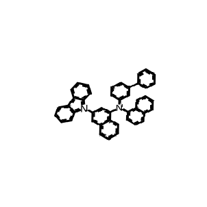 c1ccc(-c2cccc(N(c3cccc4ccccc34)c3cc(-n4c5ccccc5c5ccccc54)cc4ccccc34)c2)cc1